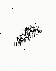 Cc1nc(NC(C)c2cccc(C(F)(F)CO)c2F)c2cc(P(C)(C)=O)ccc2n1